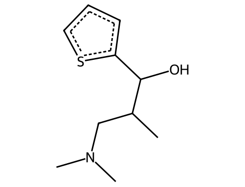 CC(CN(C)C)C(O)c1cccs1